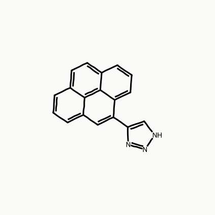 c1cc2ccc3cccc4c(-c5c[nH]nn5)cc(c1)c2c34